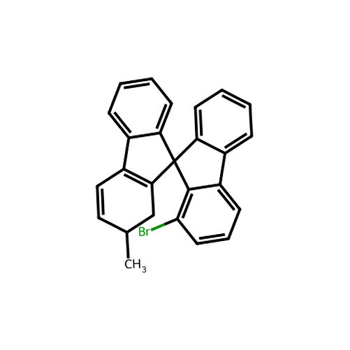 CC1C=CC2=C(C1)C1(c3ccccc32)c2ccccc2-c2cccc(Br)c21